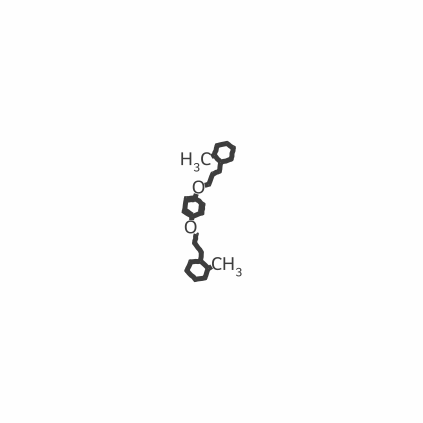 CC1CCCCC1CCCOc1ccc(OCCCC2CCCCC2C)cc1